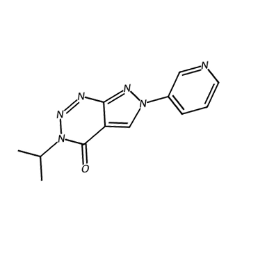 CC(C)n1nnc2nn(-c3cccnc3)cc2c1=O